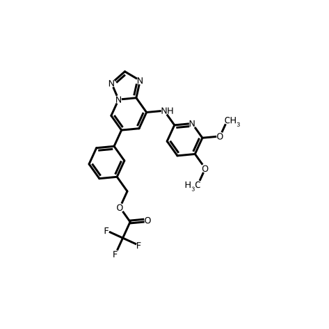 COc1ccc(Nc2cc(-c3cccc(COC(=O)C(F)(F)F)c3)cn3ncnc23)nc1OC